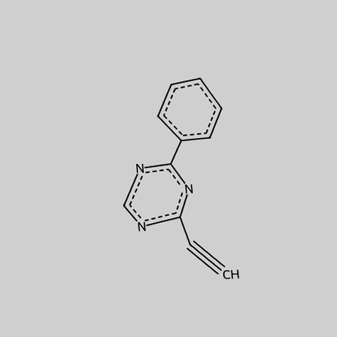 C#Cc1ncnc(-c2ccccc2)n1